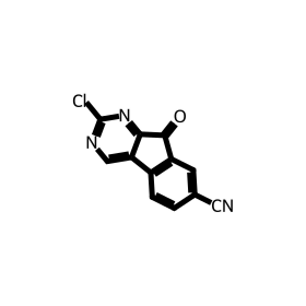 N#Cc1ccc2c(c1)C(=O)c1nc(Cl)ncc1-2